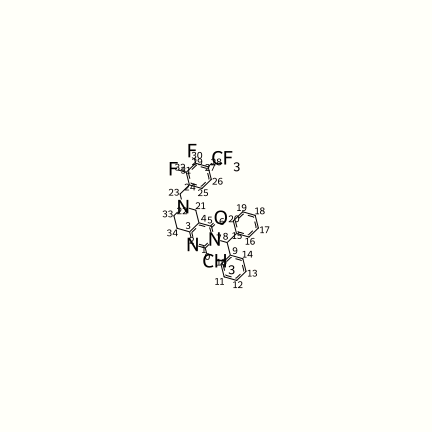 Cc1nc2c(c(=O)n1C(c1ccccc1)c1ccccc1)CN(Cc1ccc(C(F)(F)F)c(F)c1F)CC2